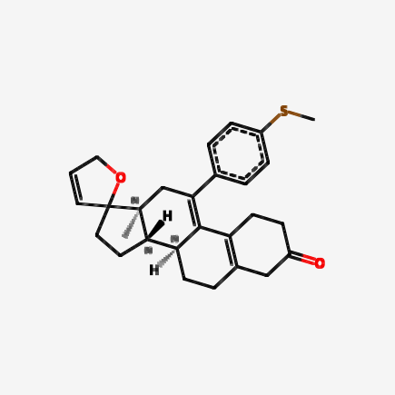 CSc1ccc(C2=C3C4=C(CC[C@H]3[C@@H]3CCC5(C=CCO5)[C@@]3(C)C2)CC(=O)CC4)cc1